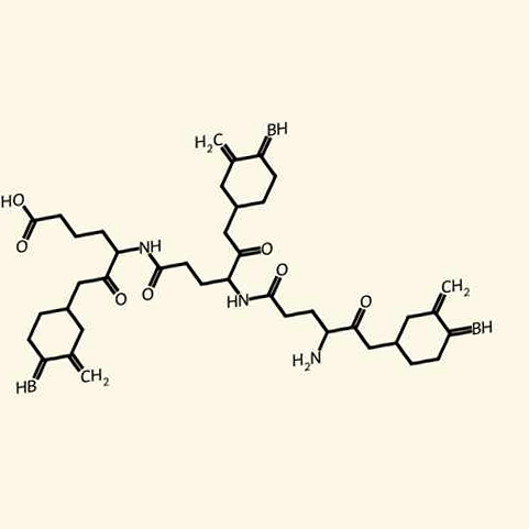 B=C1CCC(CC(=O)C(N)CCC(=O)NC(CCC(=O)NC(CCCC(=O)O)C(=O)CC2CCC(=B)C(=C)C2)C(=O)CC2CCC(=B)C(=C)C2)CC1=C